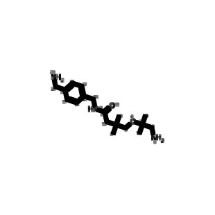 CC(C)(COC(C)(C)CN)CC(=O)NCc1ccc(CN)cc1